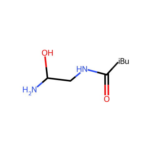 CCC(C)C(=O)NCC(N)O